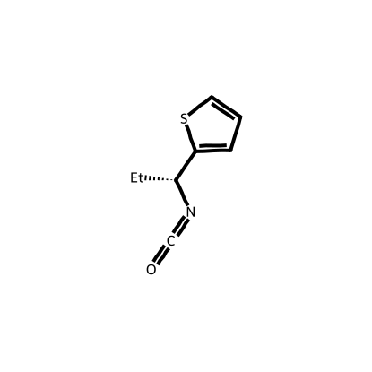 CC[C@@H](N=C=O)c1cccs1